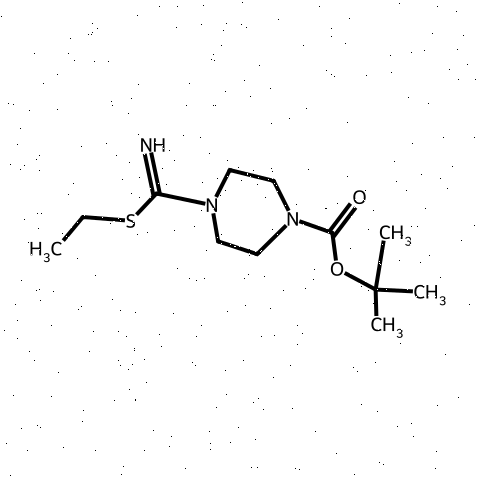 CCSC(=N)N1CCN(C(=O)OC(C)(C)C)CC1